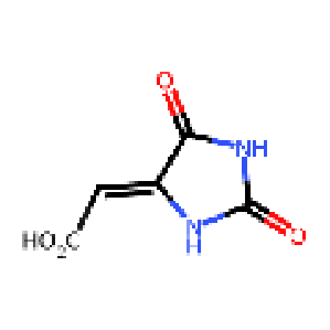 O=C(O)/C=C1\NC(=O)NC1=O